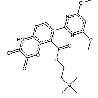 COc1cc(OC)nc(-c2ccc3[nH]c(=O)c(=O)oc3c2C(=O)OCC[Si](C)(C)C)n1